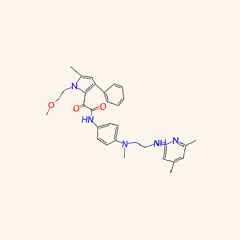 COCCn1c(C)cc(-c2ccccc2)c1C(=O)C(=O)Nc1ccc(N(C)CCNc2cc(C)cc(C)n2)cc1